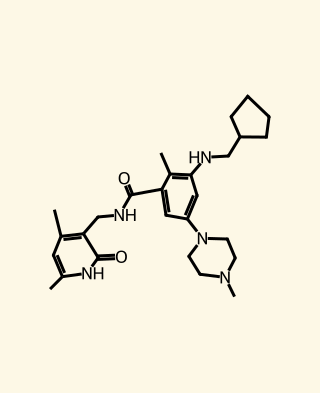 Cc1cc(C)c(CNC(=O)c2cc(N3CCN(C)CC3)cc(NCC3CCCC3)c2C)c(=O)[nH]1